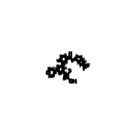 Cc1ccc(NCN2CC[C@@H](CC(F)(F)F)C2)cc1-c1cc(N2CCOCC2)nc(N2C[C@@H](O)[C@@H]2C)c1